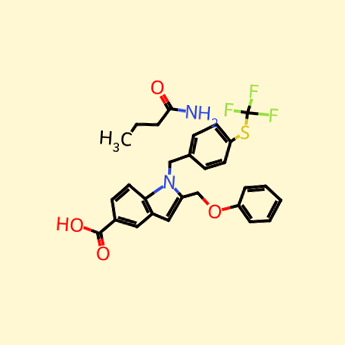 CCCC(N)=O.O=C(O)c1ccc2c(c1)cc(COc1ccccc1)n2Cc1ccc(SC(F)(F)F)cc1